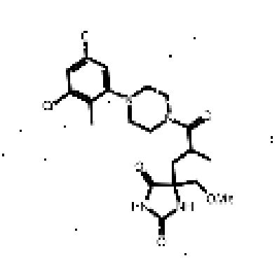 COCC1(CC(C)C(=O)N2CCN(c3cc(Cl)cc(Cl)c3C)CC2)NC(=O)NC1=O